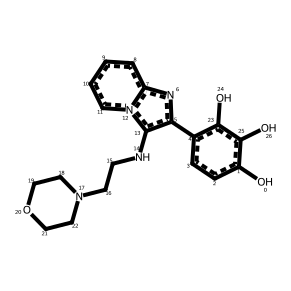 Oc1ccc(-c2nc3ccccn3c2NCCN2CCOCC2)c(O)c1O